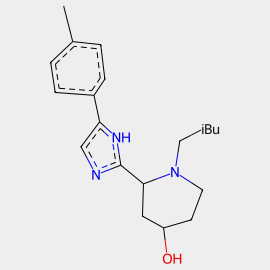 CCC(C)CN1CCC(O)CC1c1ncc(-c2ccc(C)cc2)[nH]1